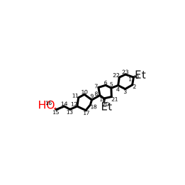 CCC1CCC(C2CCC(C3CCC(CCCO)CC3)C(CC)C2)CC1